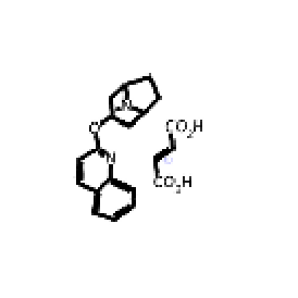 CN1C2CCC1CC(Oc1ccc3ccccc3n1)C2.O=C(O)/C=C/C(=O)O